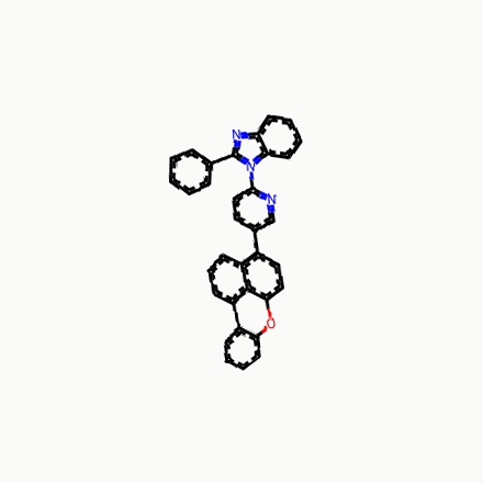 c1ccc(-c2nc3ccccc3n2-c2ccc(-c3ccc4c5c(cccc35)-c3ccccc3O4)cn2)cc1